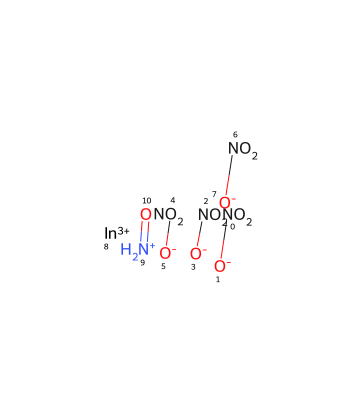 O=[N+]([O-])[O-].O=[N+]([O-])[O-].O=[N+]([O-])[O-].O=[N+]([O-])[O-].[In+3].[NH2+]=O